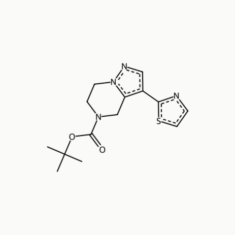 CC(C)(C)OC(=O)N1CCn2ncc(-c3nccs3)c2C1